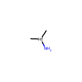 [CH3][Hf]([CH3])[NH2]